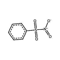 O=[N+]([O-])S(=O)(=O)c1ccccc1